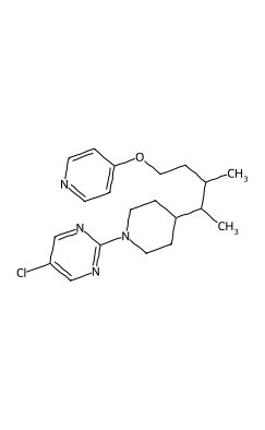 CC(CCOc1ccncc1)C(C)C1CCN(c2ncc(Cl)cn2)CC1